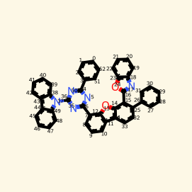 c1ccc(-c2nc(-c3cccc4c3oc3c(-c5nc6ccccc6o5)c(-c5ccccc5)ccc34)nc(-n3c4ccccc4c4ccccc43)n2)cc1